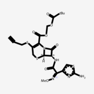 C#CCSC1=C(C(=O)OCOC(=O)C(C)(C)C)N2C(=O)[C@@H](NC(=O)/C(=N\OC)c3csc(N)n3)[C@H]2SC1